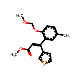 COCOc1ccc(C)cc1/C(=C/C(=O)OC)c1ccsc1